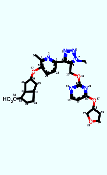 Cc1nc(-c2nnn(C)c2COc2nccc(OC3CCOC3)n2)ccc1OC1CC2CCC(C(=O)O)C2C1